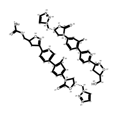 CC(C)(C)C(=O)OCC1CC(c2ccc(-c3ccc(N4C[C@H](Cn5ccnn5)OC4=O)cc3F)cn2)=NO1.O=C1O[C@@H](Cn2ccnn2)CN1c1ccc(-c2ccc(C3=NOC(CO)C3)nc2)c(F)c1